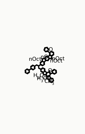 CCCCCCCCC1(CCCCCCCC)c2cc(C(Cc3ccc(-c4ccccc4)cc3)Cc3ccc4c(c3)C(C)(C)c3c5c(c6c(oc7ccccc76)c3-4)-c3ccccc3C5(C)C)ccc2-c2cc3c(cc21)-c1c(ccc2oc4ccccc4c12)C3(CCCCCCCC)CCCCCCCC